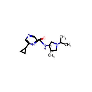 CC(C)N1C[C@H](NC(=O)c2cncc(C3CC3)n2)[C@@H](C)C1